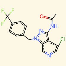 CC(=O)Nc1nn(Cc2ccc(C(F)(F)F)cc2)c2cncc(Cl)c12